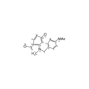 CNc1ccc(CN(C)c2cc(Cl)ccc2SCl)cc1